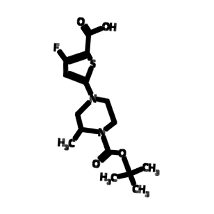 CC1CN(c2cc(F)c(C(=O)O)s2)CCN1C(=O)OC(C)(C)C